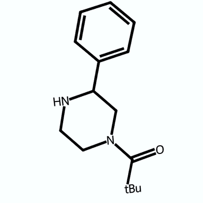 CC(C)(C)C(=O)N1CCNC(c2ccccc2)C1